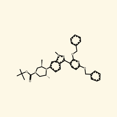 C[C@@H]1CN(C(=O)OC(C)(C)C)C[C@@H](C)N1c1ccc2c(-c3ccc(OCc4ccccc4)nc3OCc3ccccc3)nn(C)c2c1